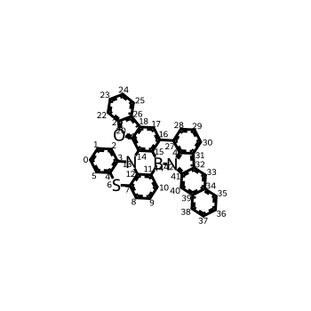 c1ccc2c(c1)Sc1cccc3c1N2c1c2c(cc4c1oc1ccccc14)-c1cccc4c5cc6ccccc6cc5n(c14)B32